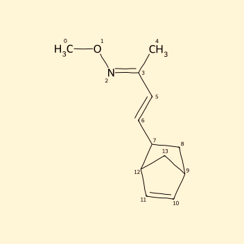 CON=C(C)C=CC1CC2C=CC1C2